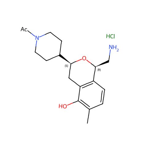 CC(=O)N1CCC([C@@H]2Cc3c(ccc(C)c3O)[C@H](CN)O2)CC1.Cl